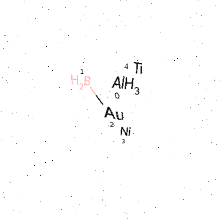 [AlH3].[BH2][Au].[Ni].[Ti]